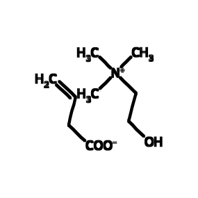 C=CCC(=O)[O-].C[N+](C)(C)CCO